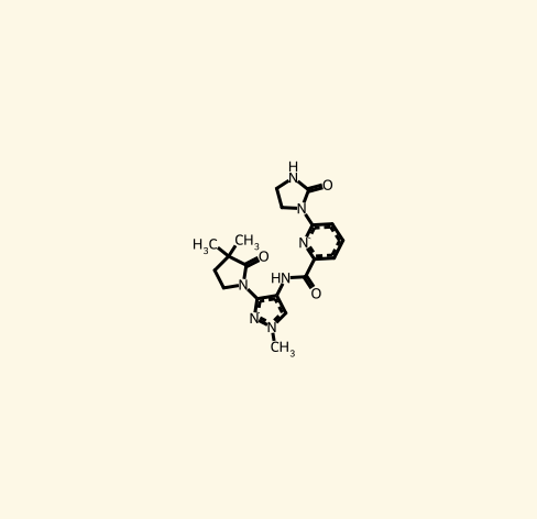 Cn1cc(NC(=O)c2cccc(N3CCNC3=O)n2)c(N2CCC(C)(C)C2=O)n1